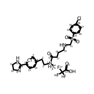 CN(CCc1ccc(C2=NCCN2)cc1)C(=O)CCCNCS(=O)(=O)c1ccc(Cl)cc1.O=C(O)C(F)(F)F